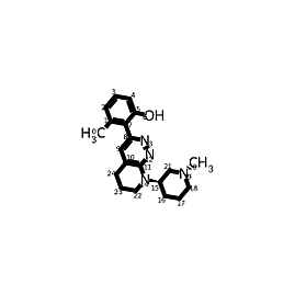 Cc1cccc(O)c1-c1cc2c(nn1)N([C@@H]1CCCN(C)C1)CCC2